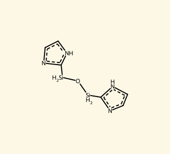 c1c[nH]c([SiH2]O[SiH2]c2ncc[nH]2)n1